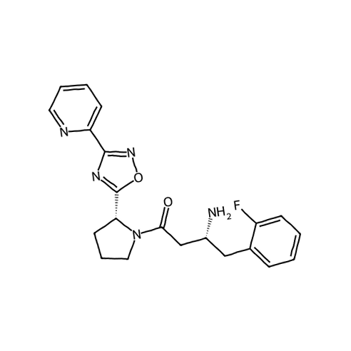 N[C@@H](CC(=O)N1CCC[C@@H]1c1nc(-c2ccccn2)no1)Cc1ccccc1F